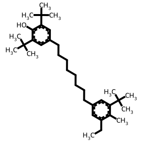 CCc1cc(CCCCCCCCc2cc(C(C)(C)C)c(O)c(C(C)(C)C)c2)cc(C(C)(C)C)c1C